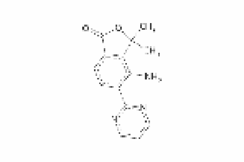 CC1(C)OC(=O)c2ccc(-c3ncccn3)c(N)c21